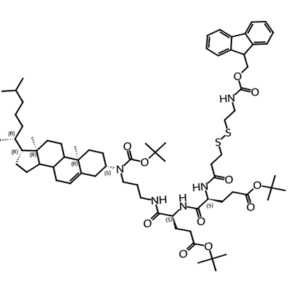 CC(C)CCC[C@@H](C)[C@H]1CCC2C3CC=C4C[C@@H](N(CCCNC(=O)[C@H](CCC(=O)OC(C)(C)C)NC(=O)[C@H](CCC(=O)OC(C)(C)C)NC(=O)CCSSCCNC(=O)OCC5c6ccccc6-c6ccccc65)C(=O)OC(C)(C)C)CC[C@]4(C)C3CC[C@@]21C